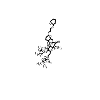 C=C1CC[C@H](CCCOC2CCCCO2)OC1C[C@@H]1O[C@H]2CC(O[Si](C)(C)C(C)(C)C)C(CCO[Si](C)(C)C(C)(C)C)O[C@H]2[C@H](N)C1O